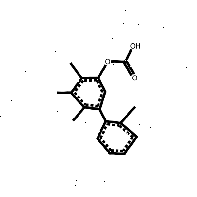 Cc1ccccc1-c1cc(OC(=O)O)c(C)c(C)c1C